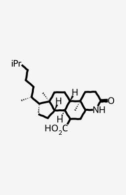 CC(C)CCC[C@@H](C)[C@H]1CC[C@H]2[C@@H]3C(C(=O)O)CC4NC(=O)CC[C@]4(C)[C@H]3CC[C@]12C